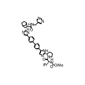 COC(=O)N[C@H](C(=O)N1CCC[C@H]1c1ncc(-c2ccc(-c3ccc(-c4cnc([C@@H]5C6CCC(C6)C5C(=O)NCc5cncnc5)[nH]4)cc3)cc2)[nH]1)C(C)C